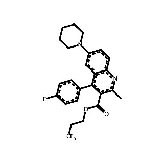 Cc1nc2ccc(N3CCCCC3)cc2c(-c2ccc(F)cc2)c1C(=O)OCCC(F)(F)F